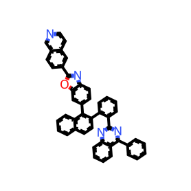 c1ccc(-c2nc(-c3ccccc3-c3ccc4ccccc4c3-c3ccc4nc(-c5ccc6cnccc6c5)oc4c3)nc3ccccc23)cc1